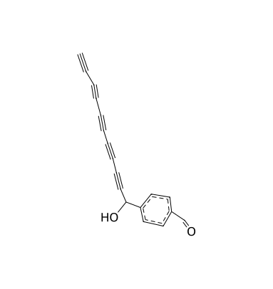 C#CC#CC#CC#CC#CC(O)c1ccc(C=O)cc1